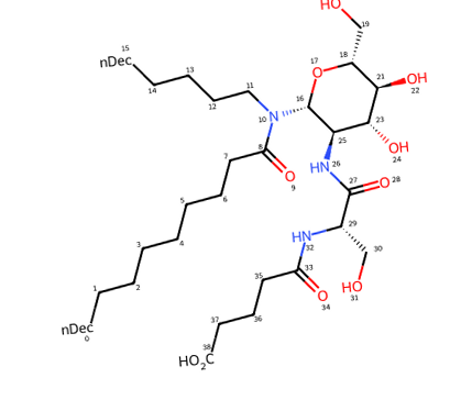 CCCCCCCCCCCCCCCCCC(=O)N(CCCCCCCCCCCCCC)[C@@H]1O[C@H](CO)[C@@H](O)[C@H](O)[C@H]1NC(=O)[C@H](CO)NC(=O)CCCC(=O)O